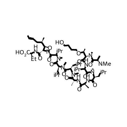 C/C=C/C[C@@H](C)[C@H]1ON(C(=O)C(C(C)C)N(C)C(=O)[C@H](CC(C)C)N(C)C(=O)[C@H](CC(C)C)N(C)C(=O)[C@@H](C)NC(=O)[C@H](C)NC(=O)[C@H](CC(C)C)N(C)C(=O)C(NC(=O)[C@H]([C@H](C)OCCCCO)N(C)C(=O)[C@@H](C)NC)C(C)C)[C@@H]1C(=O)N[C@@H](CC)C(=O)O